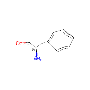 N[C@@H](C=O)c1ccccc1